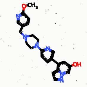 COc1ccc(CN2CCN(c3ccc(-c4cc(O)cn5nccc45)cn3)CC2)cn1